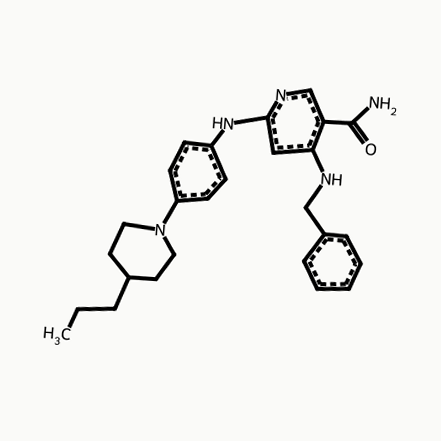 CCCC1CCN(c2ccc(Nc3cc(NCc4ccccc4)c(C(N)=O)cn3)cc2)CC1